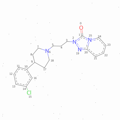 O=c1n(CCCN2CCC(c3cccc(Cl)c3)CC2)nc2ccccn12